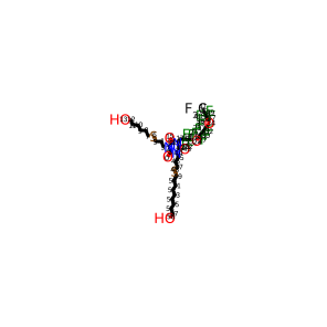 O=c1n(CCCSCCCCCCO)c(=O)n(CC(F)(F)C(F)(F)OC(F)(F)C(F)(F)C(F)(F)OC(F)(F)C(F)(F)C(F)(F)F)c(=O)n1CCCSCCCCCCCCCO